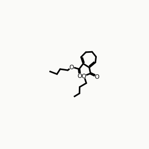 CCCCOC(=O)C1=CCCCC=C1C(=O)OCCCC